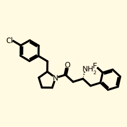 N[C@@H](CC(=O)N1CCCC1Cc1ccc(Cl)cc1)Cc1ccccc1F